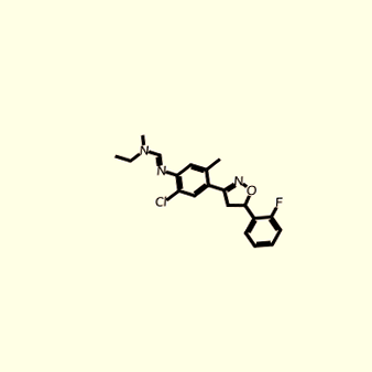 CCN(C)C=Nc1cc(C)c(C2=NOC(c3ccccc3F)C2)cc1Cl